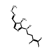 CON=Cc1cnc([S+]([O-])CCC(F)=C(F)F)n1C